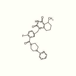 CC1CCCc2c1c(=O)[nH]c(=O)n2Cc1ccc(F)c(C(=O)N2CCN(c3ccccn3)CC2)c1